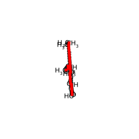 CC(C)(C)CCCCCCCCCCCCCCCCCC(=O)NC(CCC(=O)NCCOCCOCC(=O)NCCOCCOCC(=O)O)C(=O)OC(C)(C)C